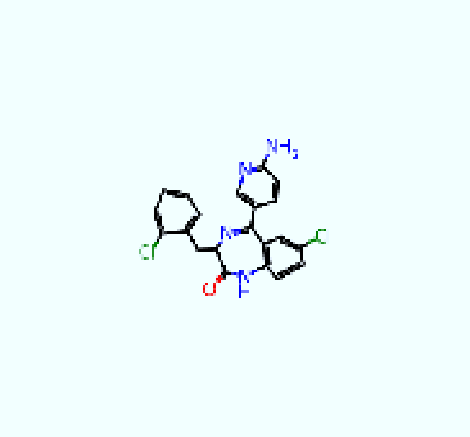 Nc1ccc(C2=NC(Cc3ccccc3Cl)C(=O)Nc3ccc(Cl)cc32)cn1